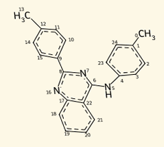 Cc1ccc(Nc2nc(-c3ccc(C)cc3)nc3ccccc23)cc1